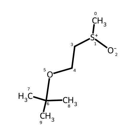 C[S+]([O-])CCOC(C)(C)C